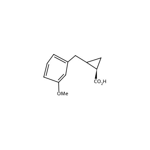 COc1cccc(CC2C[C@H]2C(=O)O)c1